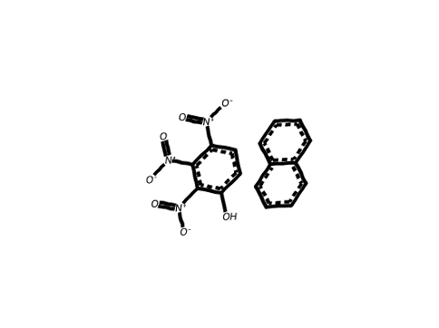 O=[N+]([O-])c1ccc(O)c([N+](=O)[O-])c1[N+](=O)[O-].c1ccc2ccccc2c1